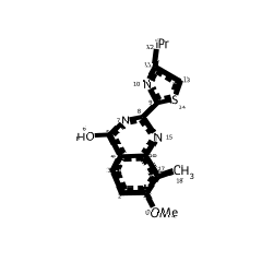 COc1ccc2c(O)nc(-c3nc(C(C)C)cs3)nc2c1C